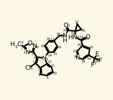 Cc1nc(-c2c(Cl)c3ccccc3n2-c2ccc(CNC(=O)C3(NC(=O)c4cncc(C(F)(F)F)c4)CC3)cc2)no1